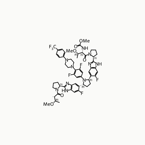 COC(=O)N[C@H](C(=O)N1CCC[C@H]1c1nc2cc([C@H]3CC[C@H](c4cc5nc([C@@H]6CCCN6C(=O)[CH][C@@H](C)OC)[nH]c5cc4F)N3c3cc(F)c(N4CCN(c5ccc(C(F)(F)F)cc5)CC4)c(F)c3)c(F)cc2[nH]1)[C@@H](C)OC